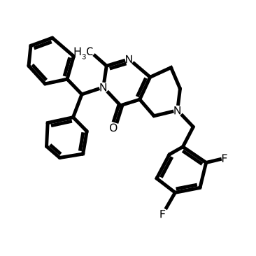 Cc1nc2c(c(=O)n1C(c1ccccc1)c1ccccc1)CN(Cc1ccc(F)cc1F)CC2